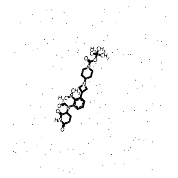 CN(C)c1c(C2CN(C3CCN(C(=O)OC(C)(C)C)CC3)C2)cccc1N(C=O)C1CCC(=O)NC1=O